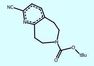 CC(C)(C)OC(=O)N1CCc2ccc(C#N)nc2CC1